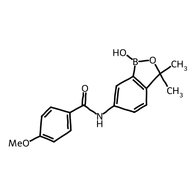 COc1ccc(C(=O)Nc2ccc3c(c2)B(O)OC3(C)C)cc1